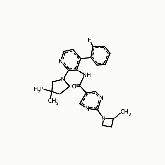 CC1CCN1c1ncc(C(=O)Nc2c(-c3ccccc3F)ccnc2N2CCC(C)(P)C2)cn1